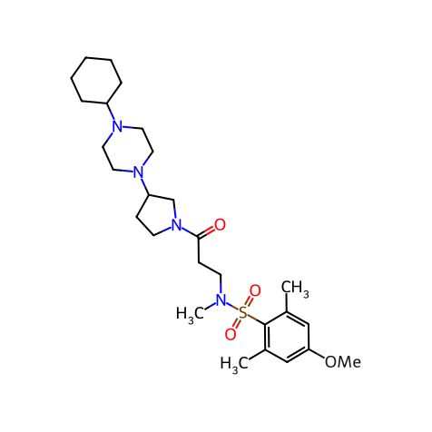 COc1cc(C)c(S(=O)(=O)N(C)CCC(=O)N2CCC(N3CCN(C4CCCCC4)CC3)C2)c(C)c1